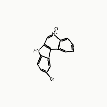 [O-][n+]1cc2[nH]c3ccc(Br)cc3c2c2ccccc21